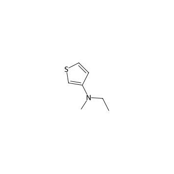 CCN(C)c1ccsc1